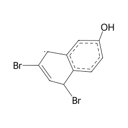 Oc1ccc2c(c1)[CH]C(Br)=CC2Br